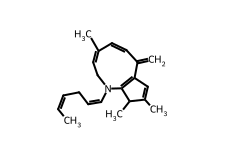 C=C1/C=C\C(C)=C/CN(/C=C\C/C=C\C)C2=C1C=C(C)C2C